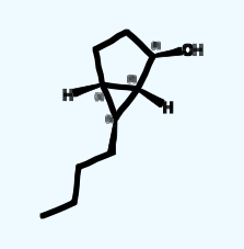 CCCC[C@H]1[C@@H]2CC[C@@H](O)[C@H]12